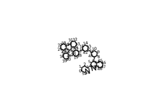 c1ccc(-c2cc(-c3cccc(-c4cccc(-c5ccc6c(c5)C5(c7ccccc7-c7ccccc75)c5ccccc5-6)c4)c3)c3ccccc3n2)nc1